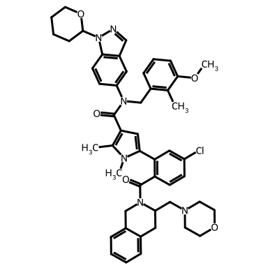 COc1cccc(CN(C(=O)c2cc(-c3cc(Cl)ccc3C(=O)N3Cc4ccccc4CC3CN3CCOCC3)n(C)c2C)c2ccc3c(cnn3C3CCCCO3)c2)c1C